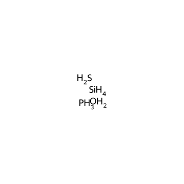 O.P.S.[SiH4]